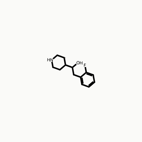 OC(Cc1ccccc1F)C1[CH]CNCC1